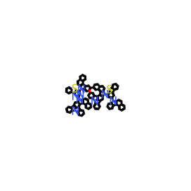 c1ccc2c(c1)ccc1c2c2ccccc2n1-c1cc(-n2c3ccc4ccc(-c5ccc6c(c5)c5c7ccccc7ccc5n6-c5nc(-n6c7ccc8ccccc8c7c7c8c9ccccc9n9c%10ccccc%10c(cc76)c89)nc6c5sc5ccccc56)cc4c3c3c4c5ccccc5n5c6ccccc6c(cc32)c45)c2sc3ccccc3c2c1